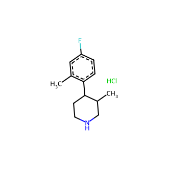 Cc1cc(F)ccc1C1CCNCC1C.Cl